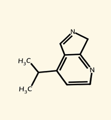 CC(C)c1ccnc2c1C=NC2